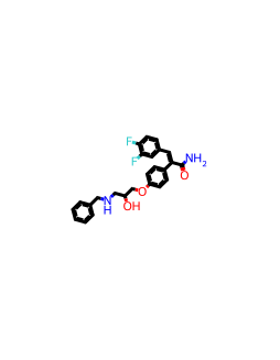 NC(=O)/C(=C/c1ccc(F)c(F)c1)c1ccc(OCC(O)CNCc2ccccc2)cc1